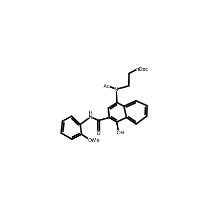 CCCCCCCCCCCCN(C(C)=O)c1cc(C(=O)Nc2ccccc2OC)c(O)c2ccccc12